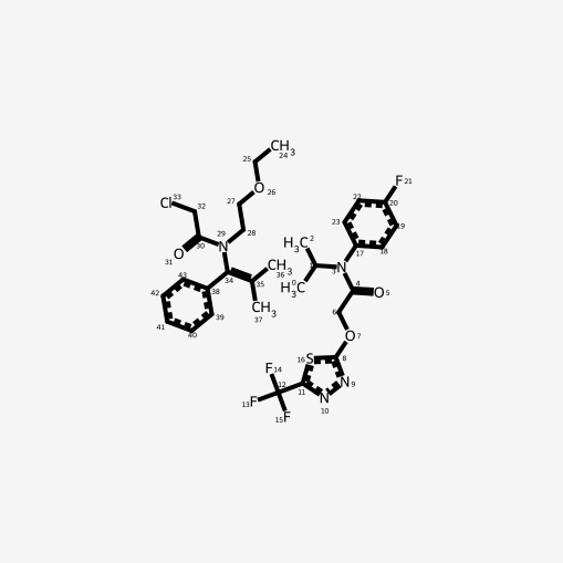 CC(C)N(C(=O)COc1nnc(C(F)(F)F)s1)c1ccc(F)cc1.CCOCCN(C(=O)CCl)C(=C(C)C)c1ccccc1